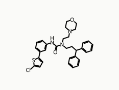 O=C(Nc1cccc(-c2ccc(Cl)s2)c1)N(CCC(c1ccccc1)c1ccccc1)CCN1CCOCC1